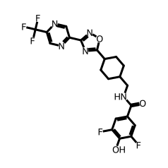 O=C(NCC1CCC(c2nc(-c3cnc(C(F)(F)F)cn3)no2)CC1)c1cc(F)c(O)c(F)c1